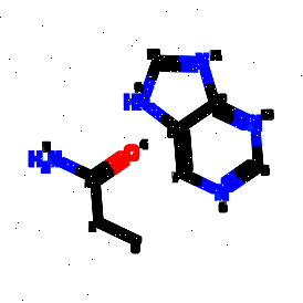 CCC(N)=O.c1ncc2[nH]cnc2n1